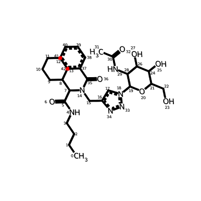 CCCCNC(=O)C(C1CCCCC1)N(Cc1cn(C2OC(CO)C(O)C(O)C2NC(C)=O)nn1)C(=O)c1ccccc1